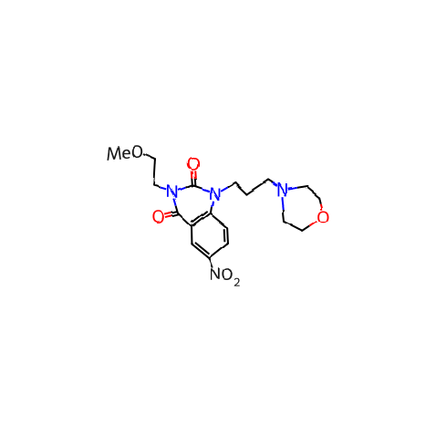 COCCn1c(=O)c2cc([N+](=O)[O-])ccc2n(CCCN2CCOCC2)c1=O